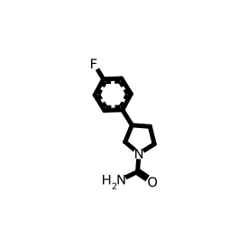 NC(=O)N1CCC(c2ccc(F)cc2)C1